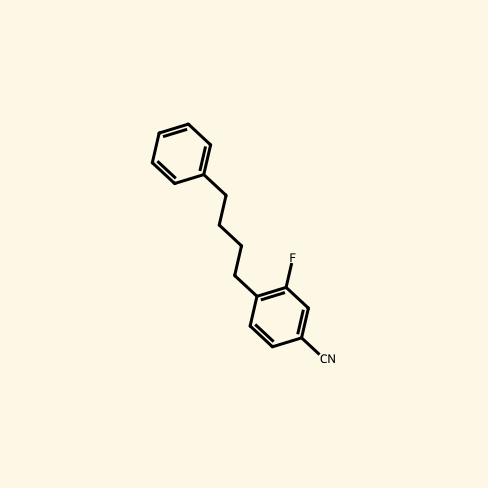 N#Cc1ccc(CCCCc2ccccc2)c(F)c1